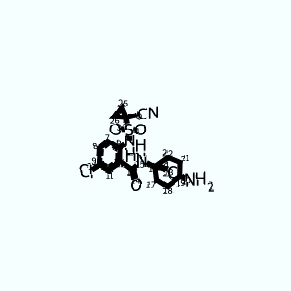 N#CC1(S(=O)(=O)Nc2ccc(Cl)cc2C(=O)NC23CCC(N)(CC2)CC3)CC1